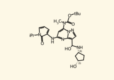 CC(C)n1cccc(Nc2cc(N(C)C(=O)OC(C)(C)C)n3ncc(C(O)N[C@@H]4CC[C@H](O)C4)c3n2)c1=O